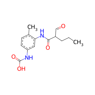 CCCC(C=O)C(=O)Nc1cc(NC(=O)O)ccc1C